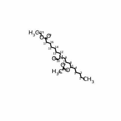 CCCCCC(CCCN(C=O)CCCCCCC(=O)OCC)OC(C)=O